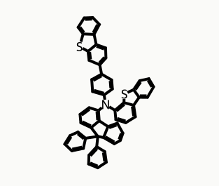 c1ccc(C2(c3ccccc3)c3ccccc3-c3c(N(c4ccc(-c5ccc6c(c5)sc5ccccc56)cc4)c4cccc5c4sc4ccccc45)cccc32)cc1